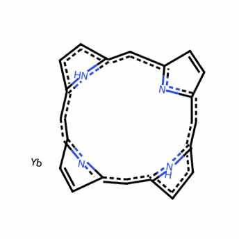 C1=Cc2cc3ccc(cc4nc(cc5ccc(cc1n2)[nH]5)C=C4)[nH]3.[Yb]